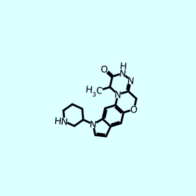 CC1C(=O)NN=C2COc3cc4ccn(C5CCCNC5)c4cc3N21